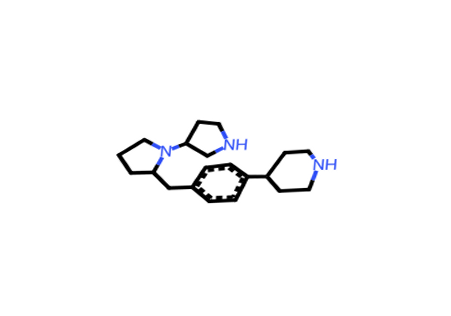 c1cc(C2CCNCC2)ccc1CC1CCCN1C1CCNC1